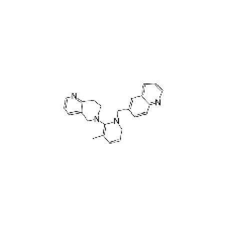 CC1=C(N2CCc3ncccc3C2)N(Cc2ccc3ncccc3c2)CC=C1